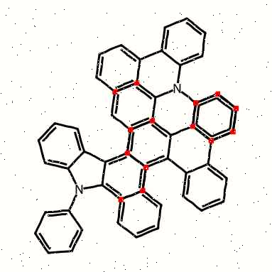 c1ccc(-c2ccccc2-c2c(-c3ccccc3)cccc2-c2ccccc2N(c2cccc(-c3cccc4c3c3ccccc3n4-c3ccccc3)c2)c2ccccc2-c2ccccc2)cc1